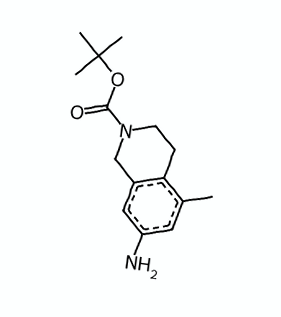 Cc1cc(N)cc2c1CCN(C(=O)OC(C)(C)C)C2